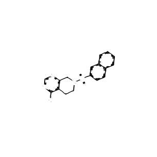 Nc1ncnc2c1CCN(S(=O)(=O)c1ccc3ccccc3c1)C2